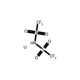 O=S(=O)(NS(=O)(=O)C(F)(F)F)C(F)(F)F.[Li]